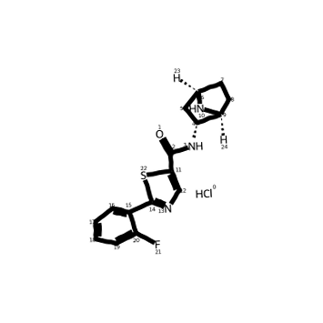 Cl.O=C(N[C@@H]1C[C@H]2CC[C@@H]1N2)c1cnc(-c2ccccc2F)s1